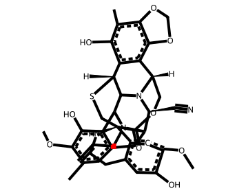 C=CCN1C2c3c(cc(C)c(OC)c3O)CC1[C@H](C#N)N1C2[C@@H]2SC[C@]3(NCCc4cc(O)c(OC)cc43)C(=O)OC[C@H]1c1c3c(c(C)c(O)c12)OCO3